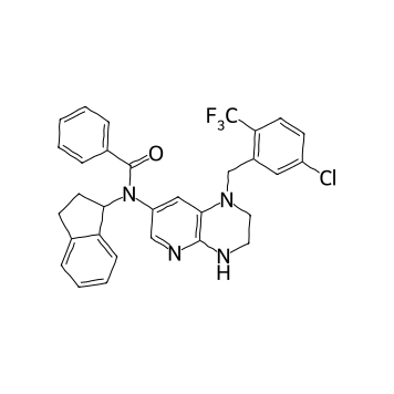 O=C(c1ccccc1)N(c1cnc2c(c1)N(Cc1cc(Cl)ccc1C(F)(F)F)CCN2)C1CCc2ccccc21